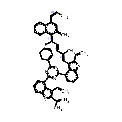 C=Cc1sc2cccc(-c3nc(C4=CC=CCC4)nc(-c4cccc5sc(C(=C)C)c(C=C)c45)n3)c2c1/C=C(C)/C=C/C(F)=c1\c(=C)cc(/C=C\C)c2ccccc12